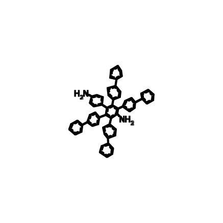 Nc1ccc(-c2c(-c3ccc(-c4ccccc4)cc3)c(-c3ccc(-c4ccccc4)cc3)c(N)c(-c3ccc(-c4ccccc4)cc3)c2-c2ccc(-c3ccccc3)cc2)cc1